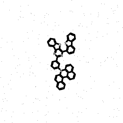 c1cc(-c2nc(-c3cccc4c3sc3ccccc34)c3oc4ccccc4c3n2)cc(N2c3ccc4ccccc4c3-c3cccc4cccc2c34)c1